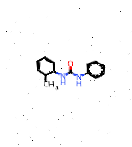 CC1C=CC=CC1NC(=O)Nc1ccccc1